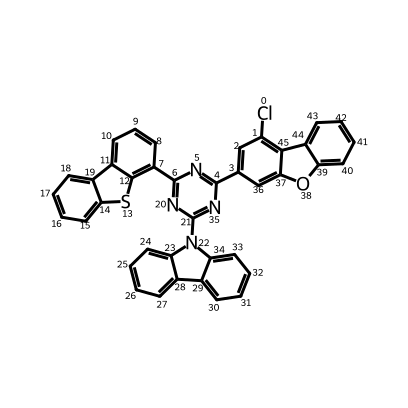 Clc1cc(-c2nc(-c3cccc4c3sc3ccccc34)nc(-n3c4ccccc4c4ccccc43)n2)cc2oc3ccccc3c12